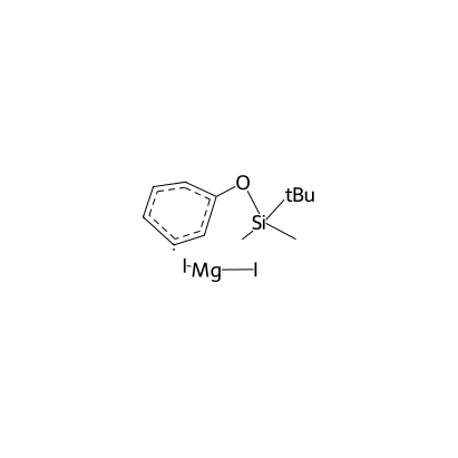 CC(C)(C)[Si](C)(C)Oc1c[c]ccc1.[I][Mg][I]